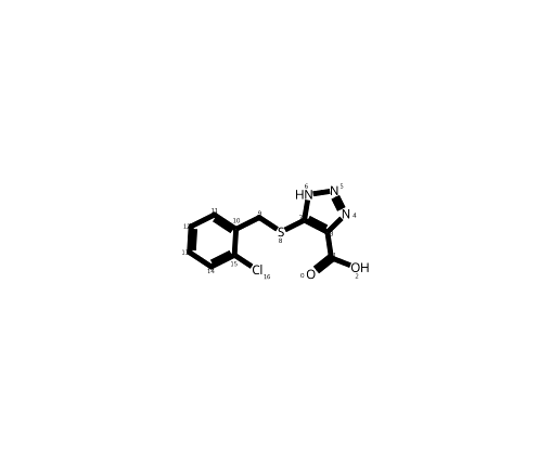 O=C(O)c1nn[nH]c1SCc1ccccc1Cl